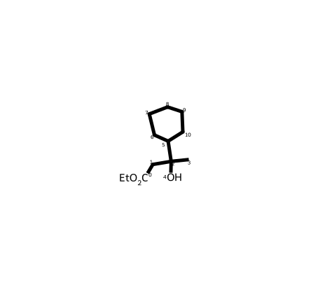 CCOC(=O)CC(C)(O)C1CCCCC1